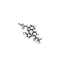 CCOC(=O)Cn1cc(-c2ccccc2Cl)c2c(C3=CCN(C(=O)OC(C)(C)C)CC3)ncnc21